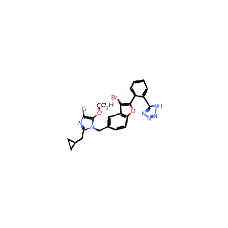 O=C(O)Oc1c(Cl)nc(CC2CC2)n1Cc1ccc2oc(-c3ccccc3-c3nnn[nH]3)c(Br)c2c1